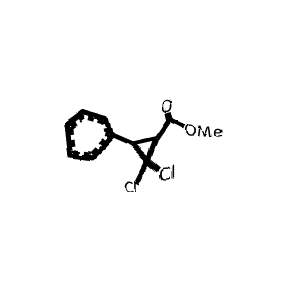 COC(=O)C1C(c2ccccc2)C1(Cl)Cl